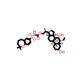 CC[C@H]1[C@@H](O)[C@@H]2[C@H](CC[C@]3(C)[C@@H]([C@H](C)COC(=O)NS(=O)(=O)c4ccc5c(c4)CCCC(C)(C)O5)CC[C@@H]23)[C@@]2(C)CC[C@@H](O)C[C@@H]12